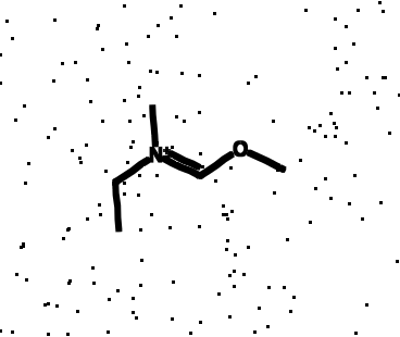 CC[N+](C)=COC